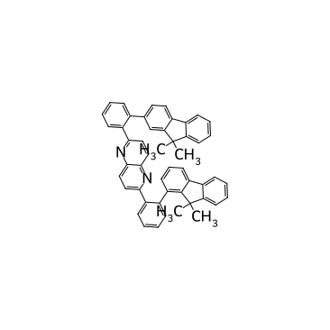 CC1(C)c2ccccc2-c2ccc(-c3ccccc3-c3ccc4nc(-c5ccccc5-c5cccc6c5C(C)(C)c5ccccc5-6)ccc4n3)cc21